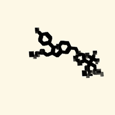 CCC(OC)(c1cn(Cc2ccn3c(-c4ccc(F)cc4)c(COC)cc3c2)nn1)C(F)(F)F